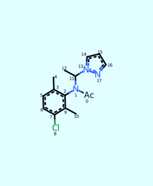 CC(=O)N(c1c(C)ccc(Cl)c1C)C(C)n1cccn1